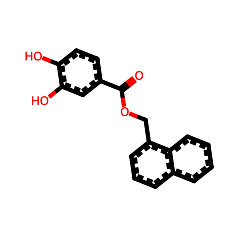 O=C(OCc1cccc2ccccc12)c1ccc(O)c(O)c1